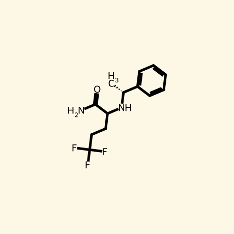 C[C@@H](NC(CCC(F)(F)F)C(N)=O)c1ccccc1